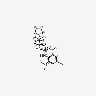 CC(C)c1cc(F)cc(C(C)C)c1NC(=O)NS(=O)(=O)C1CC2CCC(C1)N2C(C)C